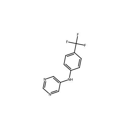 FC(F)(F)c1ccc(Nc2cncnc2)cc1